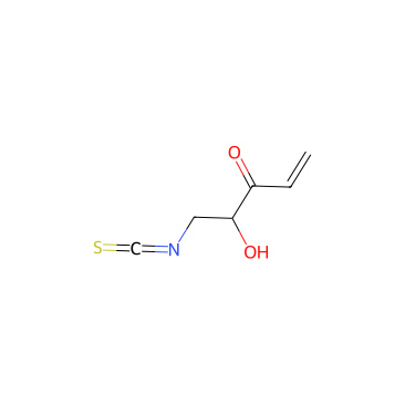 C=CC(=O)C(O)CN=C=S